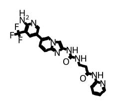 Nc1ncc(-c2ccc3nc(NC(=O)NCCC(=O)Nc4ccccn4)cn3c2)cc1C(F)(F)F